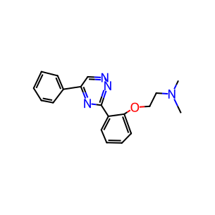 CN(C)CCOc1ccccc1-c1nncc(-c2ccccc2)n1